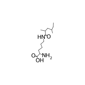 CCC(C)CC(C)C(=O)NCCCCC(N)C(=O)O